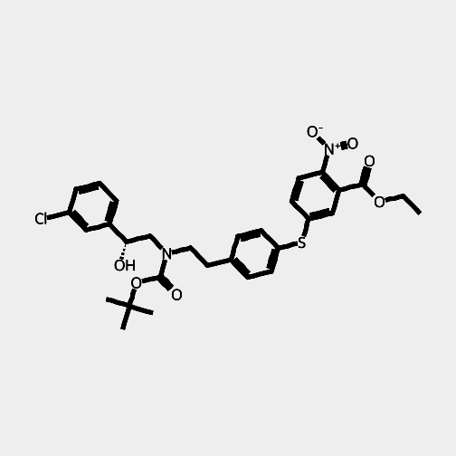 CCOC(=O)c1cc(Sc2ccc(CCN(C[C@H](O)c3cccc(Cl)c3)C(=O)OC(C)(C)C)cc2)ccc1[N+](=O)[O-]